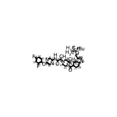 C[C@@H](C(=O)Nc1cnc(Oc2ccc(F)cc2F)cn1)N1CCN(C(=O)C2CCc3nnc(CO[Si](C)(C)C(C)(C)C)n3C2)C(C)(C)C1